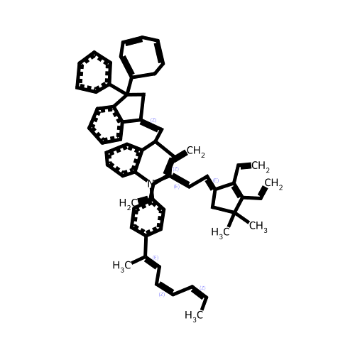 C=CC/C=C\C(/C=C1/CC(C2=CC=CC=CC2)(c2ccccc2)c2ccccc21)c1ccccc1N(/C(C=C)=C/C=C1\CC(C)(C)C(C=C)=C1C=C)c1ccc(/C(C)=C/C=C\C=C/C)cc1